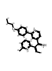 C/C=C(\C(=N)c1ccnc(-c2ccc(OCCC)cc2)c1)c1cccc(C)n1